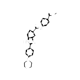 COC(=O)c1ccc(NC(=O)c2ccc3[nH]c(-c4ccc(N5CCOCC5)cc4)nc3c2)cc1